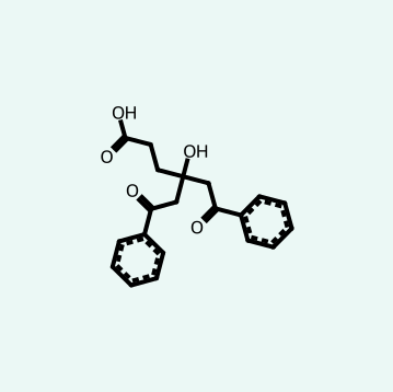 O=C(O)CCC(O)(CC(=O)c1ccccc1)CC(=O)c1ccccc1